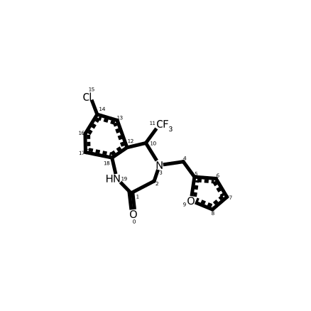 O=C1CN(Cc2ccco2)C(C(F)(F)F)c2cc(Cl)ccc2N1